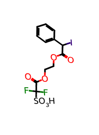 O=C(OCCOC(=O)C(F)(F)S(=O)(=O)O)C(I)c1ccccc1